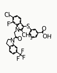 Cc1c(Sc2cccc(C(=O)O)c2)c2ccc(Cl)c(F)c2n1CC(=O)N1CCc2ccc(C(F)(F)F)cc21